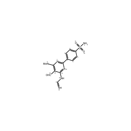 CNc1nc(-c2ccc(S(N)(=O)=O)cc2)nc(NC=N)c1C=O